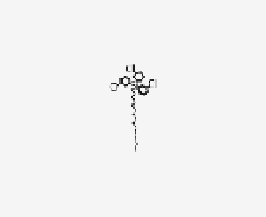 CCCCCCCCCCCCCCCC[Si](c1cccc(Cl)c1)(c1cccc(Cl)c1)c1cccc(Cl)c1